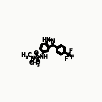 CN(C)S(=O)(=O)Nc1ccc2[nH]nc(-c3ccc(C(F)(F)F)cc3)c2c1